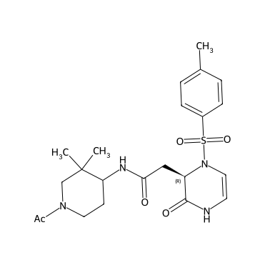 CC(=O)N1CCC(NC(=O)C[C@@H]2C(=O)NC=CN2S(=O)(=O)c2ccc(C)cc2)C(C)(C)C1